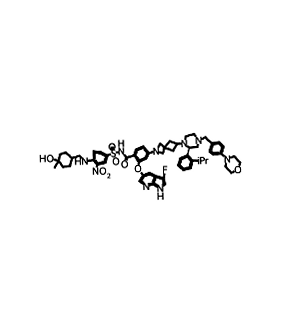 CC(C)c1ccccc1[C@@H]1CN(Cc2ccc(N3CCOCC3)cc2)CCN1C1CC2(C1)CN(c1ccc(C(=O)NS(=O)(=O)c3ccc(NCC4CCC(C)(O)CC4)c([N+](=O)[O-])c3)c(Oc3cnc4[nH]cc(F)c4c3)c1)C2